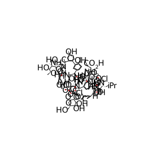 CC(C)C[C@H](C(=O)N[C@H]1C(=O)N[C@@H](CC(N)=O)C(=O)N[C@H]2C(=O)N[C@H]3C(=O)N[C@H](C(=O)N[C@@H](C(=O)O)c4cc(O)cc(O)c4-c4cc3ccc4I)[C@H](O[C@H]3C[C@](C)(N)[C@@H](O)[C@H](C)O3)c3ccc(c(Cl)c3)Oc3cc2cc(c3O[C@@H]2O[C@H](CO)[C@@H](O)[C@H](O)[C@H]2O[C@H]2C[C@](C)(NCc3ccc(-c4ccc(Cl)cc4)cc3)[C@@H](O)[C@H](C)O2)Oc2ccc(cc2Cl)[C@H]1O)N(C)C(=O)OCOC(=O)CCC(=O)O